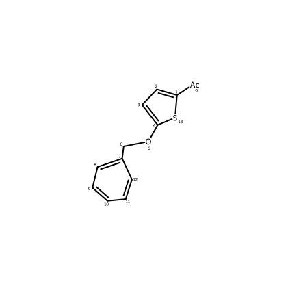 CC(=O)c1ccc(OCc2ccccc2)s1